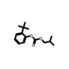 CC(C)COC(=O)Oc1ccccc1C(C)(C)C